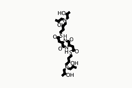 CC(O)CN(CCCCSC(=O)CC1NC(=O)C(CC(=O)SCCCCN(CC(C)O)CC(C)O)NC1=O)CC(C)O